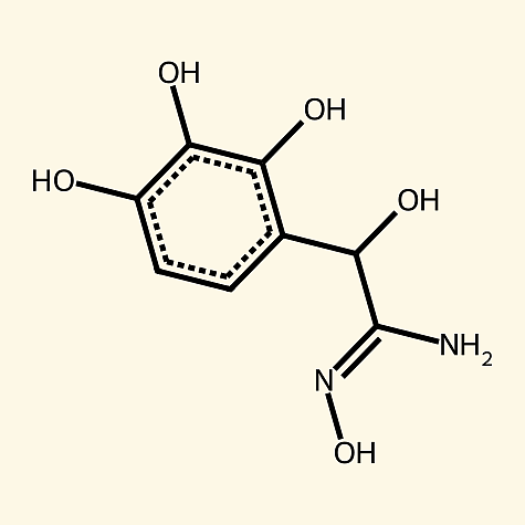 NC(=NO)C(O)c1ccc(O)c(O)c1O